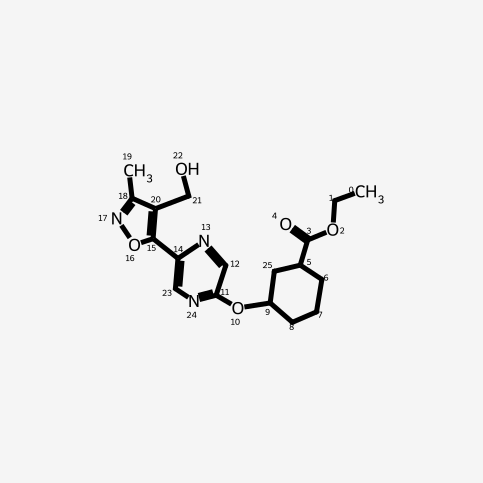 CCOC(=O)C1CCCC(Oc2cnc(-c3onc(C)c3CO)cn2)C1